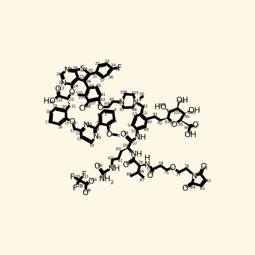 COc1ccccc1-c1nccc(COc2ccccc2C[C@@H](Oc2ncnc3sc(-c4ccc(F)cc4)c(-c4ccc(OCCN5CC[N+](C)(Cc6ccc(NC(=O)[C@H](CCCNC(N)=O)NC(=O)[C@@H](NC(=O)CCOCCN7C(=O)C=CC7=O)C(C)C)cc6CC[C@@H]6O[C@H](C(=O)O)[C@@H](O)[C@H](O)[C@H]6O)CC5)c(Cl)c4C)c23)C(=O)O)n1.O=C([O-])C(F)(F)F